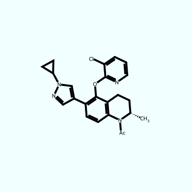 CC(=O)N1c2ccc(-c3cnn(C4CC4)c3)c(Oc3ncccc3Cl)c2CC[C@@H]1C